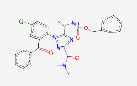 CC(NC(=O)OCc1ccccc1)c1nc(C(=O)N(C)C)nn1-c1ccc(Cl)cc1C(=O)c1ccccc1